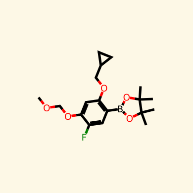 COCOc1cc(OCC2CC2)c(B2OC(C)(C)C(C)(C)O2)cc1F